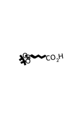 CC1(C)OB(/C=C/CCCC(=O)O)OC1(C)C